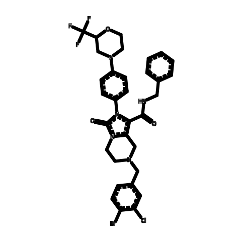 O=C(NCc1ccccc1)c1c2n(c(=O)n1-c1ccc(N3CCOC(C(F)(F)F)C3)cc1)CCN(Cc1ccc(Br)c(Cl)c1)C2